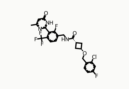 Cc1cc(=O)[nH]c(-c2c(C(F)(F)F)ccc(CNC(=O)[C@H]3C[C@H](OCc4ccc(F)cc4Cl)C3)c2F)n1